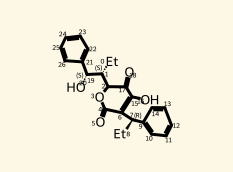 CC[C@H](C1OC(=O)C([C@H](CC)c2ccccc2)=C(O)C1=O)[C@H](O)c1ccccc1